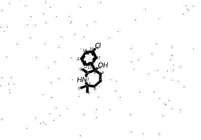 CC1NC(C)(C)CCCC1(O)c1cccc(Cl)c1